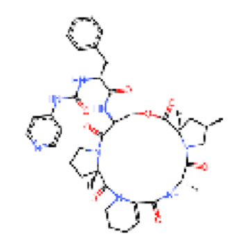 C[C@@H]1C[C@H]2C(=O)OC[C@H](NC(=O)[C@H](Cc3ccccc3)NC(=O)Nc3ccncc3)C(=O)N3CCC[C@H]3C(=O)N3CCCC=C3C(=O)N[C@@H](C)C(=O)N2C1